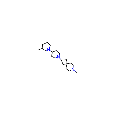 CC1CCCN(C2CCN(C3CC4(CCN(C)CC4)C3)CC2)C1